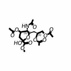 COC(=O)[C@@]1(O)CC(OC(C)=O)[C@@H](NC(C)=O)[C@@H](C[C@@H](COC(C)=O)OC(C)=O)O1